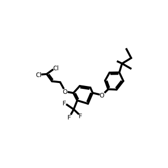 CCC(C)(C)c1ccc(Oc2ccc(OCC=C(Cl)Cl)c(C(F)(F)F)c2)cc1